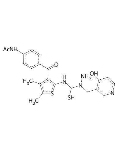 CC(=O)Nc1ccc(C(=O)c2c(NC(S)N(N)Cc3cnccc3O)sc(C)c2C)cc1